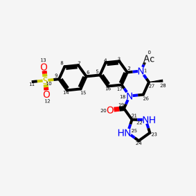 CC(=O)N1c2ccc(-c3ccc(S(C)(=O)=O)cc3)cc2N(C(=O)C2NCCN2)C[C@@H]1C